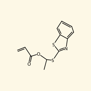 C=CC(=O)OC(C)Sc1nc2ccccc2s1